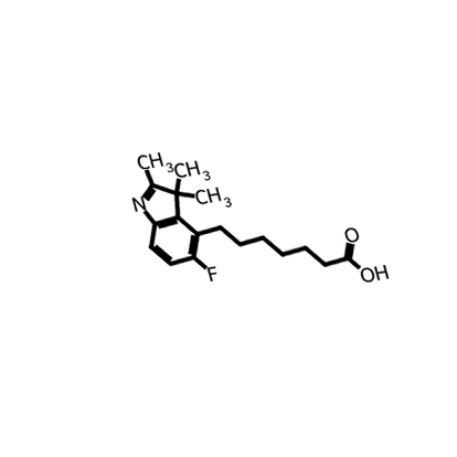 CC1=Nc2ccc(F)c(CCCCCCC(=O)O)c2C1(C)C